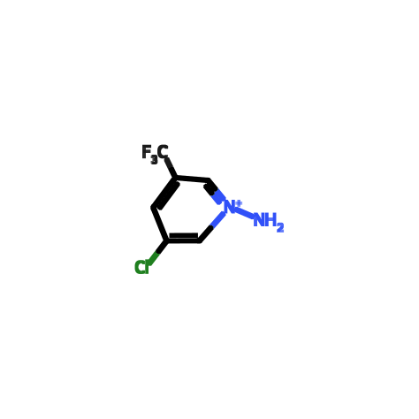 N[n+]1cc(Cl)cc(C(F)(F)F)c1